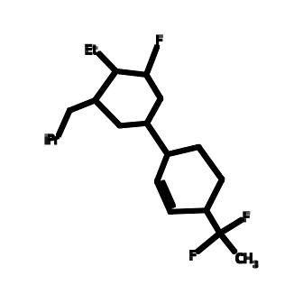 CCC1C(F)CC(C2C=CC(C(C)(F)F)CC2)CC1CC(C)C